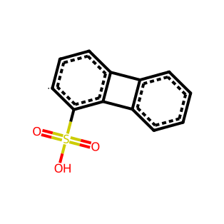 O=S(=O)(O)c1[c]ccc2c1-c1ccccc1-2